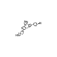 N#Cc1ccc(-c2cc3n(c2)Cc2cc(N4CCC5(CNC5)C4)ncc2-n2cnnc2-3)cc1